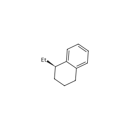 CC[C@@H]1CCCc2ccccc21